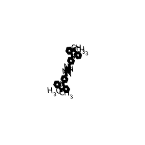 CC1(C)c2ccccc2N(c2ccc(C3=NC4=NC(c5ccc(N6c7ccccc7C(C)(C)c7ccccc76)cc5)=NC4=N3)cc2)c2ccccc21